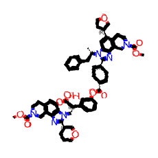 COC(=O)N1CCc2ccc3c(nc([C@@H]4CCCOC4)n3C[C@H](C(=O)O)c3cccc(OC(=O)[C@H]4CC[C@H](c5nc6c7c(c([C@H]8CCOC8)cc6n5[C@@H](C)Cc5ccccc5)CCN(C(=O)OC)C7)CC4)c3)c2C1